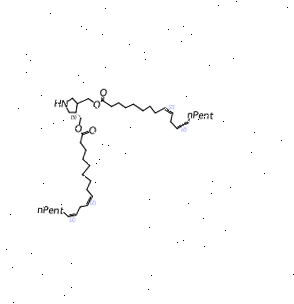 CCCCC/C=C\C/C=C\CCCCCCCC(=O)OCC1CNC[C@H]1COC(=O)CCCCCCC/C=C\C/C=C\CCCCC